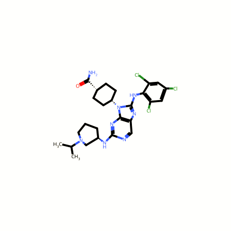 CC(C)N1CCC[C@@H](Nc2ncc3nc(Nc4c(Cl)cc(Cl)cc4Cl)n([C@H]4CC[C@@H](C(N)=O)CC4)c3n2)C1